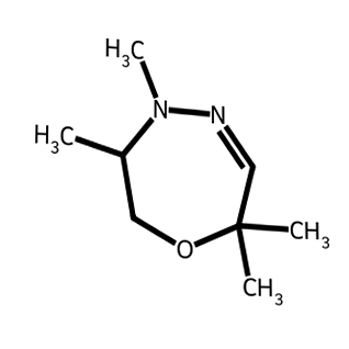 CC1COC(C)(C)C=NN1C